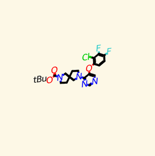 CC(C)(C)OC(=O)N1CCC2(CCN(c3ncncc3Oc3ccc(F)c(F)c3Cl)C2)C1